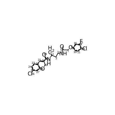 C=C(CCNC(=O)COc1ccc(Cl)c(F)c1)NC(=O)C1=Cc2ccc(Cl)cc2OC1